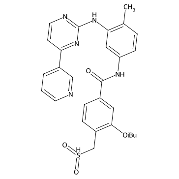 Cc1ccc(NC(=O)c2ccc(C[SH](=O)=O)c(OCC(C)C)c2)cc1Nc1nccc(-c2cccnc2)n1